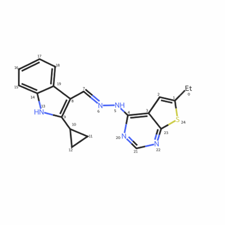 CCc1cc2c(NN=Cc3c(C4CC4)[nH]c4ccccc34)ncnc2s1